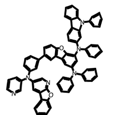 c1ccc(N(c2ccccc2)c2cc(N(c3ccccc3)c3ccc4c5ccccc5n(-c5ccccc5)c4c3)c3oc4ccc(-c5cccc(N(c6cccnc6)c6cnc7oc8ccccc8c7c6)c5)cc4c3c2)cc1